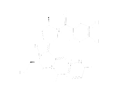 Cc1ccc(C(C)N2C[C@@H](CO)n3nc4c(c3C2=O)CN(C(=O)c2ccc(Cl)c(Cl)c2)[C@H](C)C4)nn1